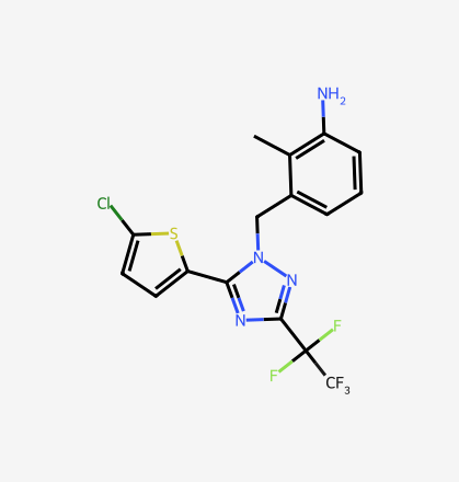 Cc1c(N)cccc1Cn1nc(C(F)(F)C(F)(F)F)nc1-c1ccc(Cl)s1